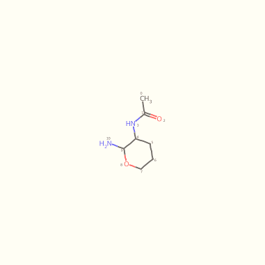 CC(=O)NC1CCCOC1N